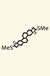 CSc1cc2cc3ccc4c5cc6sc(SC)cc6cc5ccc4c3cc2s1